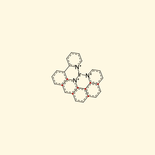 c1ccc(-c2cccc[n+]2[Ir]([n+]2ccccc2-c2ccccc2)[n+]2ccccc2-c2ccccc2)cc1